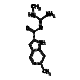 CNC(N)=NC(=O)c1cc2ccc(C)cc2[nH]1